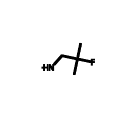 CC(C)(F)C[NH]